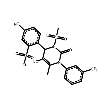 CCS(=O)(=O)c1cc(C#N)ccc1C1C(C#N)=C(C)N(c2cccc(C(F)(F)F)c2)C(=O)N1S(C)(=O)=O